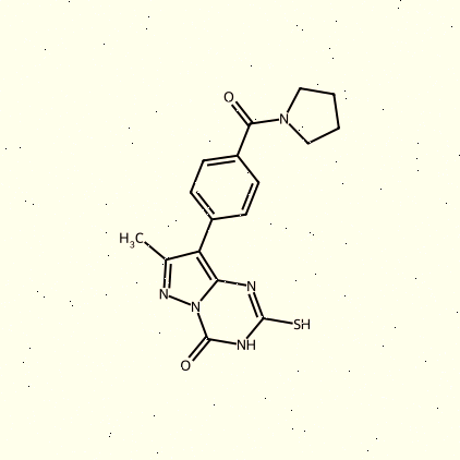 Cc1nn2c(=O)[nH]c(S)nc2c1-c1ccc(C(=O)N2CCCC2)cc1